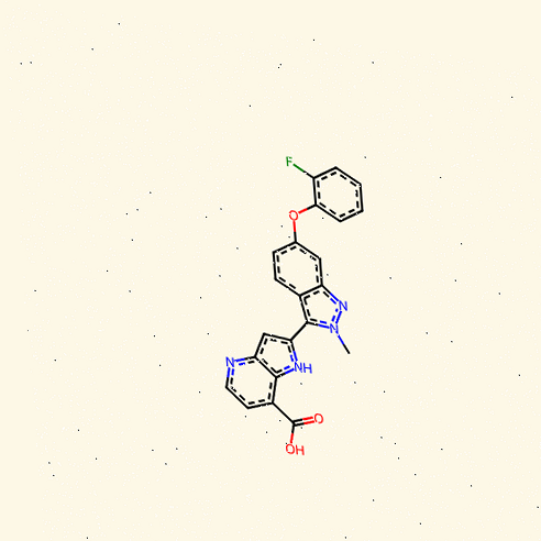 Cn1nc2cc(Oc3ccccc3F)ccc2c1-c1cc2nccc(C(=O)O)c2[nH]1